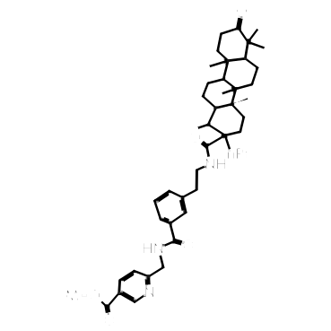 CCCC1(C(=O)NCCc2cccc(C(=O)NCc3ccc(C(=O)OC)cn3)c2)CC[C@]2(C)C(CCC3C4(C)CCC(=O)C(C)(C)C4CCC32C)C1C